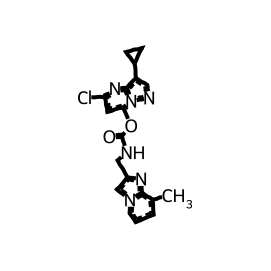 Cc1cccn2cc(CNC(=O)Oc3cc(Cl)nc4c(C5CC5)cnn34)nc12